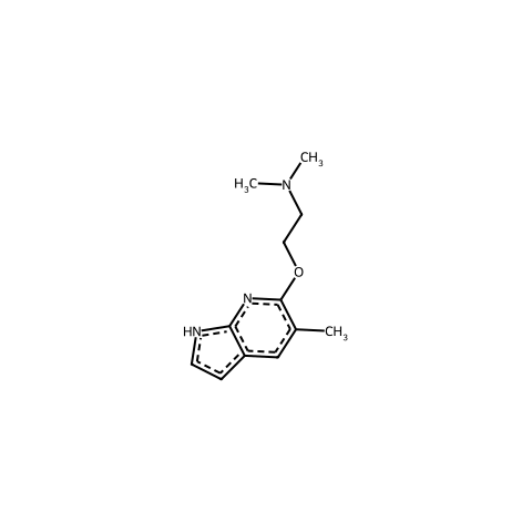 Cc1cc2cc[nH]c2nc1OCCN(C)C